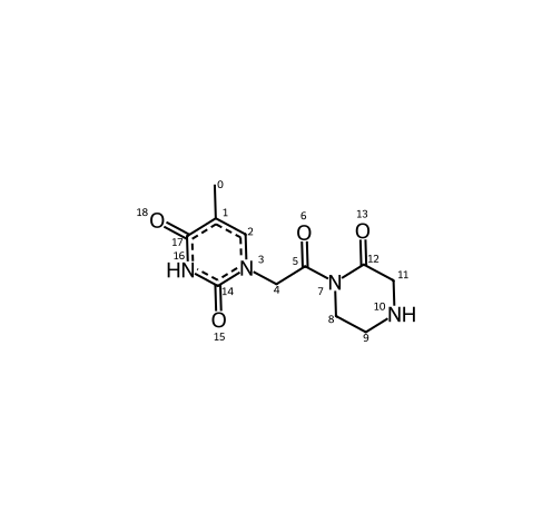 Cc1cn(CC(=O)N2CCNCC2=O)c(=O)[nH]c1=O